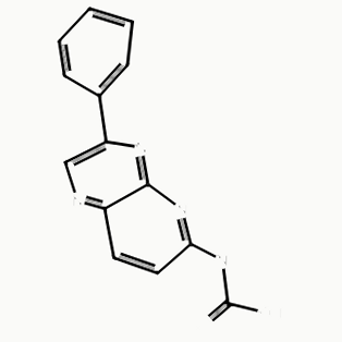 O=C(O)Nc1ccc2ncc(-c3ccccc3)nc2n1